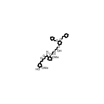 C=C(C(=O)CC(=O)C=Cc1ccc(O)c(OC)c1)c1cccc(OC)c1OCCNC[C@@H](O)COc1ccc(OCCc2ccccc2)c(OCc2ccccc2)c1